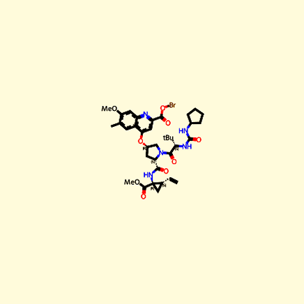 C=C[C@@H]1C[C@]1(NC(=O)[C@@H]1C[C@@H](Oc2cc(C(=O)OBr)nc3cc(OC)c(C)cc23)CN1C(=O)[C@@H](NC(=O)NC1CCCC1)C(C)(C)C)C(=O)OC